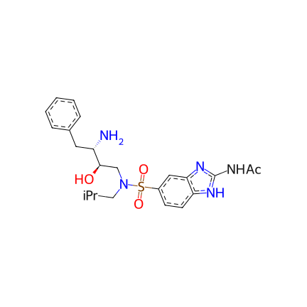 CC(=O)Nc1nc2cc(S(=O)(=O)N(CC(C)C)C[C@@H](O)[C@@H](N)Cc3ccccc3)ccc2[nH]1